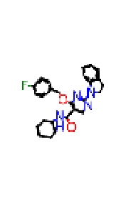 O=C(NC1CCCCC1)c1cnc(N2CCc3ccccc32)nc1OCc1ccc(F)cc1